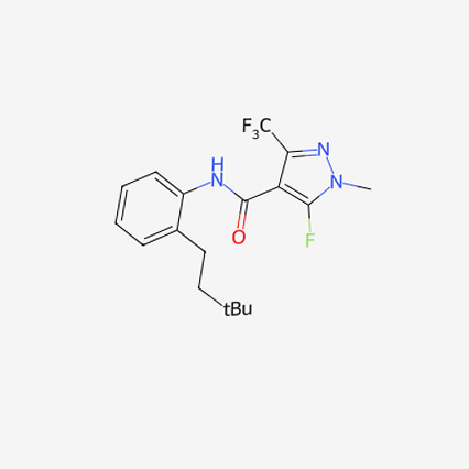 Cn1nc(C(F)(F)F)c(C(=O)Nc2ccccc2CCC(C)(C)C)c1F